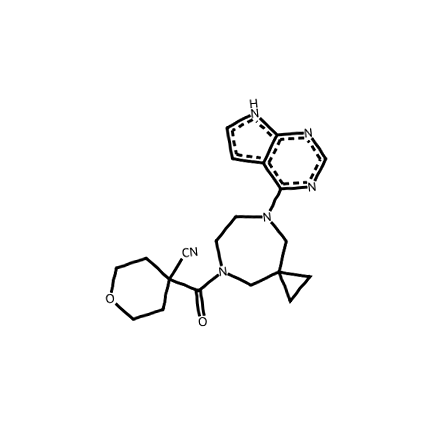 N#CC1(C(=O)N2CCN(c3ncnc4[nH]ccc34)CC3(CC3)C2)CCOCC1